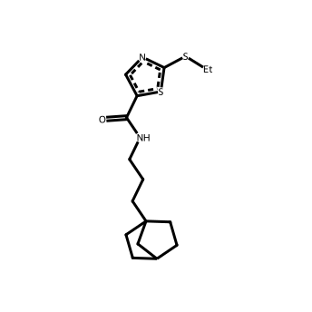 CCSc1ncc(C(=O)NCCCC23CCC(CC2)C3)s1